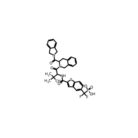 CC(C)(C)C(NC(=O)c1cc2cc(C(F)(F)P(=O)(O)O)ccc2s1)C(=O)N1Cc2ccccc2CC1C(=O)N1Cc2ccccc2C1